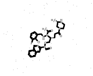 CC(=O)N(NCc1cccc(F)c1Cl)[C@@H](CCC(=O)N1CCN[C@H](C)C1)CON(C=O)c1cc2ccccc2cn1